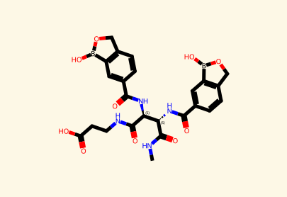 CNC(=O)[C@@H](NC(=O)c1ccc2c(c1)B(O)OC2)[C@H](NC(=O)c1ccc2c(c1)B(O)OC2)C(=O)NCCC(=O)O